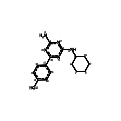 Nc1nc(NC2CCCCC2)nc(-c2ccc(O)cc2)n1